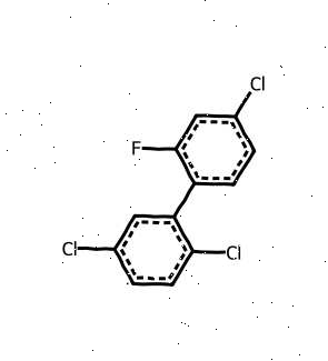 Fc1cc(Cl)ccc1-c1cc(Cl)[c]cc1Cl